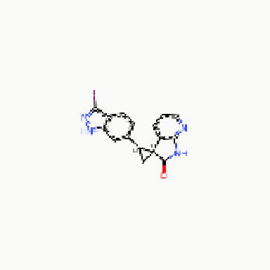 O=C1Nc2ncccc2[C@]12C[C@H]2c1ccc2c(I)n[nH]c2c1